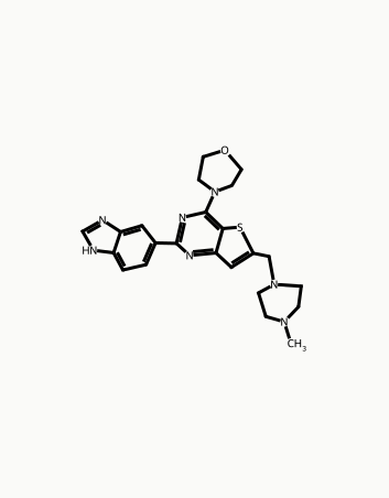 CN1CCN(Cc2cc3nc(-c4ccc5[nH]cnc5c4)nc(N4CCOCC4)c3s2)CC1